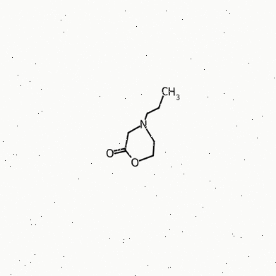 CCCN1CCOC(=O)C1